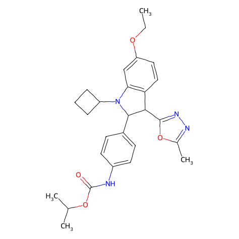 CCOc1ccc2c(c1)N(C1CCC1)C(c1ccc(NC(=O)OC(C)C)cc1)C2c1nnc(C)o1